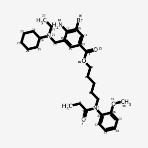 CCC(=O)N(CCCCCOC(=O)c1cc(Br)c(N)c(CN(CC)C2CCCCC2)c1)c1ccccc1OC